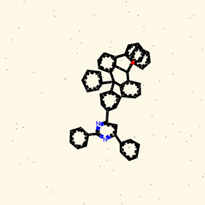 c1ccc(-c2cc(-c3ccc(C4(c5ccccc5)c5ccccc5C5(c6ccccc6)c6ccccc6-c6cccc4c65)cc3)nc(-c3ccccc3)n2)cc1